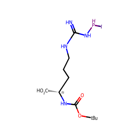 CC(C)(C)OC(=O)N[C@@H](CCCNC(=N)NPI)C(=O)O